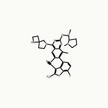 C[C@H](Oc1nc(N2CCC3(CCN3)C2)c2cc(Cl)c(-c3ccc(F)c4sc(N)c(C#N)c34)c(F)c2n1)C1CCCN1C